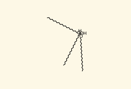 CCCCCCCCCCCCCCCCCCCO[PH](O)(CCCCCCCCCCCCCCCCCCC)OCCCCCCCCCCCCCCCCCCC